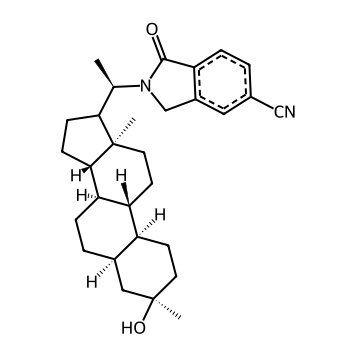 C[C@H](C1CC[C@H]2[C@@H]3CC[C@@H]4C[C@](C)(O)CC[C@@H]4[C@H]3CC[C@]12C)N1Cc2cc(C#N)ccc2C1=O